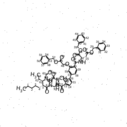 CCCCC[C@@H](C(=O)NCNC(=O)c1ccc(-c2ccc(C(=O)N[C@@H](CC(=O)OCc3ccccc3)C(=O)OCc3ccccc3)c(OCC(=O)OCc3ccccc3)c2)o1)[C@@H](CC)N(C=O)OC(=O)NC